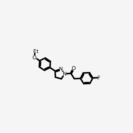 CCOc1ccc(C2=NN(C(=O)Cc3ccc(F)cc3)CC2)cc1